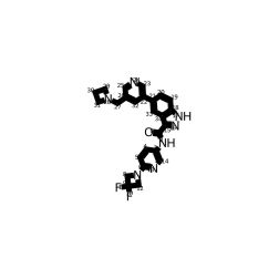 O=C(Nc1ccc(N2CC(F)(F)C2)nc1)c1n[nH]c2ccc(-c3cncc(CN4CCC4)c3)cc12